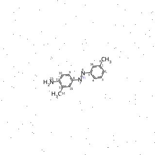 Cc1cccc(/N=N/c2ccc(N)c(C)c2)c1